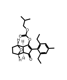 CCc1cc(C)cc(CC)c1C1=C(OC(=O)OCC(C)C)[C@H]2[C@@H](C1=O)[C@@H]1CC[C@H]2O1